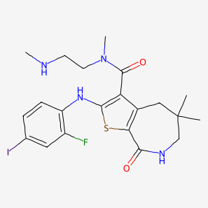 CNCCN(C)C(=O)c1c(Nc2ccc(I)cc2F)sc2c1CC(C)(C)CNC2=O